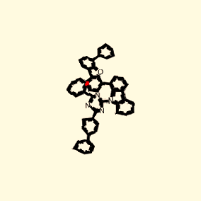 c1ccc(-c2ccc(-c3nc(-c4ccccc4)nc(-n4c5ccccc5c5cccc(-c6cccc7c6oc6c(-c8ccccc8)cccc67)c54)n3)cc2)cc1